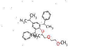 COCCOCC(C)Oc1c(C(C)c2ccccc2)cc(C(C)C)cc1C(C)c1ccccc1